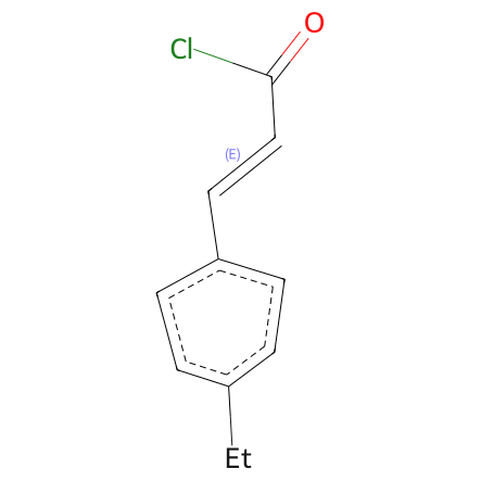 CCc1ccc(/C=C/C(=O)Cl)cc1